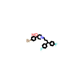 OC1(c2ccc(Br)cc2)CCN(CCCC(c2ccc(F)cc2)c2ccc(F)cc2)CC1